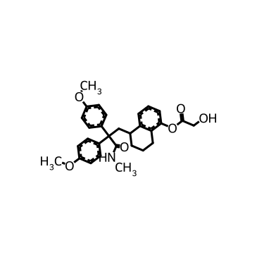 CNC(=O)C(CC1CCCc2c(OC(=O)CO)cccc21)(c1ccc(OC)cc1)c1ccc(OC)cc1